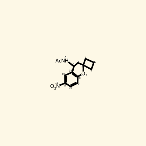 CC(=O)NC1CC2(CCC2)Oc2ccc([N+](=O)[O-])cc21